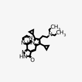 CCN(CC)CCc1c(C2CC2)[nH]c(/C=C2/C(=O)NN=C2c2cnccn2)c1C1CC1